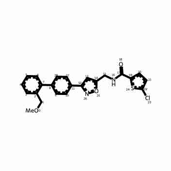 COCc1ccccc1-c1ccc(-c2cc(CNC(=O)c3ccc(Cl)s3)on2)cc1